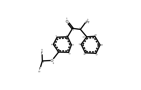 CC(C)C(C(=O)c1ccc(OC(F)F)cc1)c1ccccc1